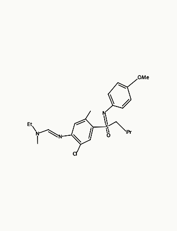 CCN(C)C=Nc1cc(C)c(S(=O)(CC(C)C)=Nc2ccc(OC)cc2)cc1Cl